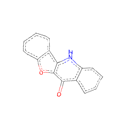 O=c1c2ccccc2[nH]c2c1oc1ccccc12